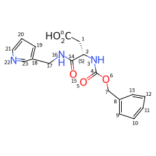 O=C(O)C[C@H](NC(=O)OCc1ccccc1)C(=O)NCc1cccnc1